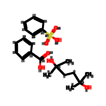 CC(C)(O)CCC(C)(C)O.O=C(O)c1ccccc1.O=S(=O)(O)c1ccccc1